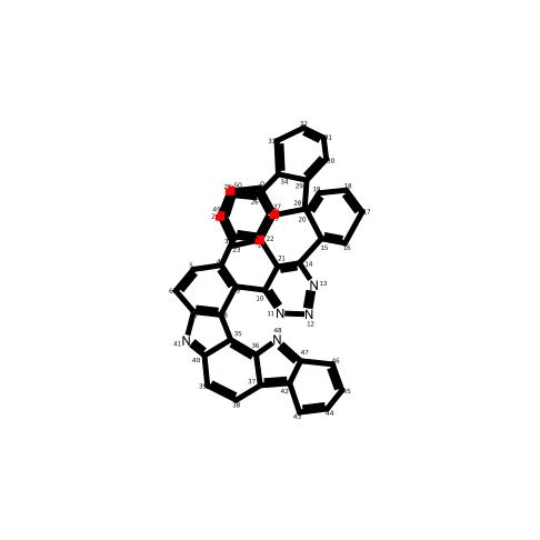 c1ccc(-c2ccc3c(c2-c2nnnc(-c4ccccc4)c2-c2cccc4c2Cc2ccccc2-4)-c2c4c(ccc2=N3)=c2ccccc2=N4)cc1